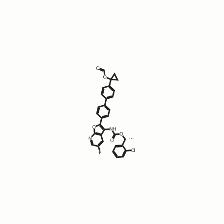 C[C@@H](OC(=O)Nc1c(-c2ccc(-c3ccc(C4(OC=O)CC4)cc3)cc2)oc2ncc(F)cc12)c1ccccc1Cl